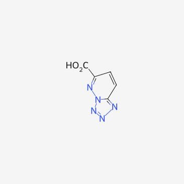 O=C(O)c1ccc2nnnn2n1